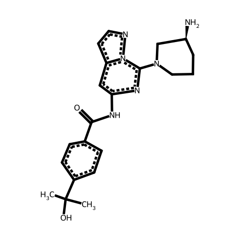 CC(C)(O)c1ccc(C(=O)Nc2cc3ccnn3c(N3CCC[C@H](N)C3)n2)cc1